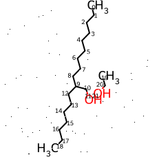 CCCCCCCCCC(CO)CCCCCCC.CCO